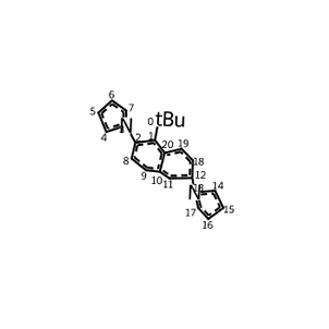 CC(C)(C)c1c(-n2cccc2)ccc2cc(-n3cccc3)ccc12